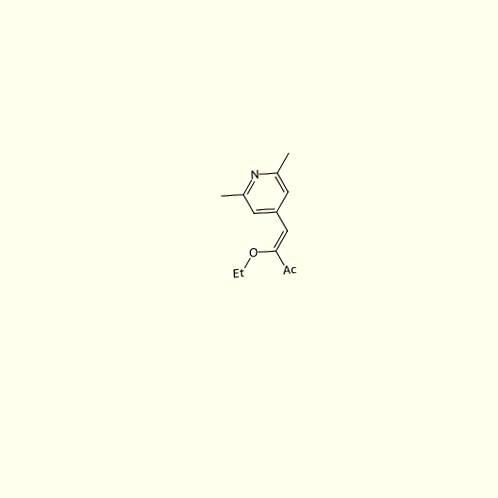 CCOC(=Cc1cc(C)nc(C)c1)C(C)=O